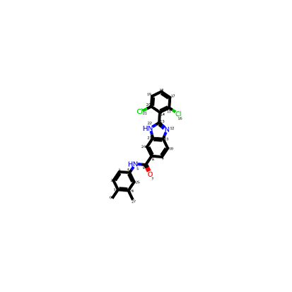 Cc1ccc(NC(=O)c2ccc3nc(-c4c(Cl)cccc4Cl)[nH]c3c2)cc1C